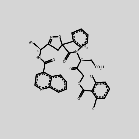 CC(C)[C@H](NC(=O)c1ccnc2ccccc12)C1=NOC(C(=O)N(C)[C@@H](CC(=O)O)C(=O)COC(=O)c2c(Cl)cccc2Cl)(c2ccccc2)C1